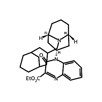 CCOC(=O)c1nc2ccccc2n([C@H]2C[C@H]3CCC[C@@H](C2)N3CC2CC3CCCC(C3)C2)c1=O